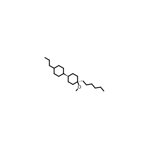 CCCCCC[C@]1(OC)CC[C@@H](C2CCC(CCC)CC2)CC1